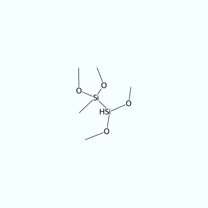 CO[SiH](OC)[Si](C)(OC)OC